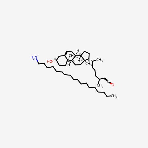 CC(C=C=O)CCCC(C)[C@H]1CC[C@H]2[C@@H]3CC=C4C[C@@H](O)CC[C@]4(C)[C@H]3CC[C@]12C.CCCCCCCCCCCCCCCCCCN